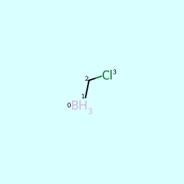 B.CCCl